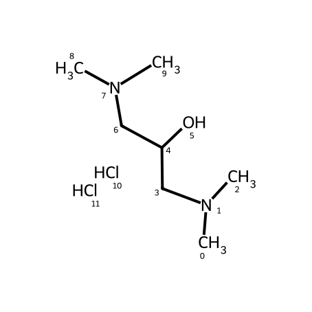 CN(C)CC(O)CN(C)C.Cl.Cl